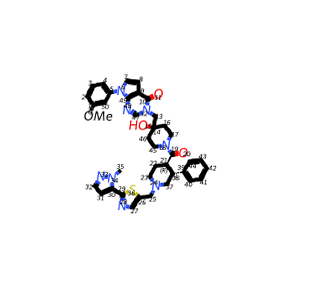 COc1cccc(-n2ccc3c(=O)n(CC4(O)CCN(C(=O)[C@@H]5CCN(Cc6cnc(-c7ccnn7C)s6)C[C@H]5c5ccccc5)CC4)cnc32)c1